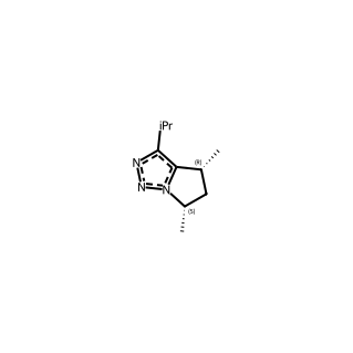 CC(C)c1nnn2c1[C@H](C)C[C@@H]2C